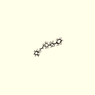 Fc1ccccc1OCCCN1CCN(C2=COC(C3=CC=CCC3)=CO2)CC1